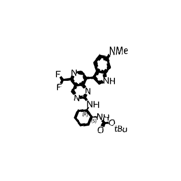 CNc1ccc2c(-c3cnc(C(F)F)c4cnc(N[C@@H]5CCCC[C@@H]5NC(=O)OC(C)(C)C)nc34)c[nH]c2c1